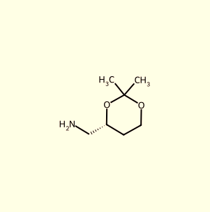 CC1(C)OCC[C@H](CN)O1